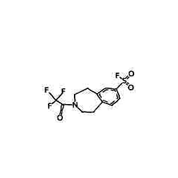 O=C(N1CCc2ccc(S(=O)(=O)F)cc2CC1)C(F)(F)F